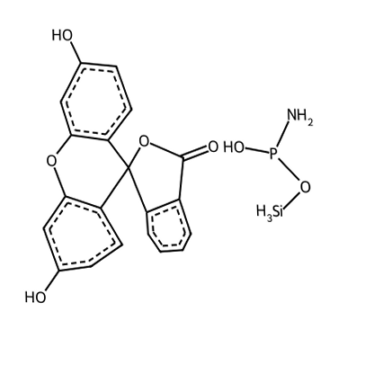 NP(O)O[SiH3].O=C1OC2(c3ccc(O)cc3Oc3cc(O)ccc32)c2ccccc21